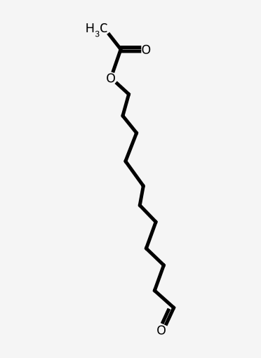 CC(=O)OCCCCCCCCCCC=O